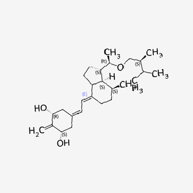 C=C1[C@H](O)CC(=C/C=C2\CC[C@H](C)[C@H]3C2CC[C@@H]3[C@@H](C)OC[C@@H](C)C(C)C)C[C@@H]1O